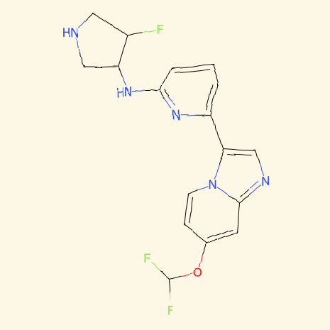 FC(F)Oc1ccn2c(-c3cccc(NC4CNCC4F)n3)cnc2c1